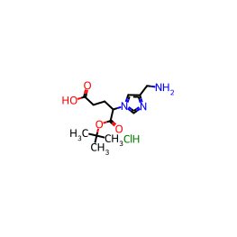 CC(C)(C)OC(=O)C(CCC(=O)O)n1cnc(CN)c1.Cl